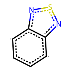 [c]1cc[c]c2nsnc12